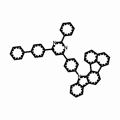 c1ccc(-c2ccc(-c3cc(-c4ccc(-n5c6ccccc6c6ccc7c(c65)-c5cccc6cccc-7c56)cc4)nc(-c4ccccc4)n3)cc2)cc1